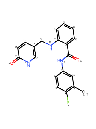 O=C(Nc1ccc(F)c(C(F)(F)F)c1)c1ccccc1NCc1ccc(=O)[nH]c1